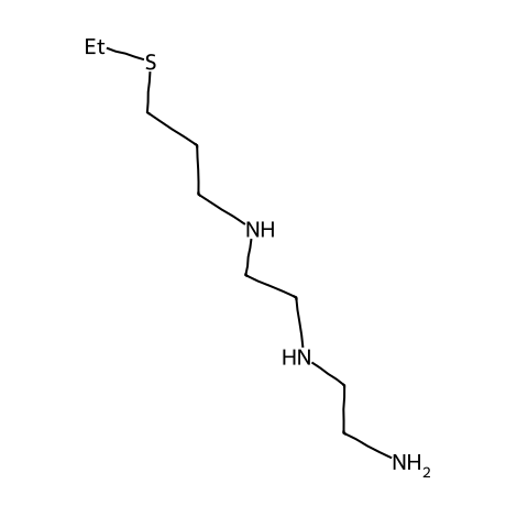 CCSCCCNCCNCCN